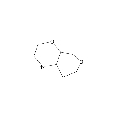 C1COC2COCCC2[N]1